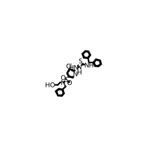 O=S(=O)(c1cnc(NNC(=S)NC(c2ccccc2)c2ccccc2)c(Cl)c1)N(CCO)Cc1ccccc1